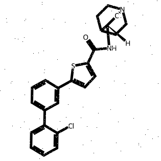 O=C(N[C@H]1CN2CCC1CC2)c1ccc(-c2cccc(-c3ccccc3Cl)c2)s1